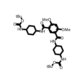 COc1cc(OC)c(C(=O)NC2CCC(NC(=O)OC(C)(C)C)CC2)cc1C(=O)NC1CCC(NC(=O)OC(C)(C)C)CC1